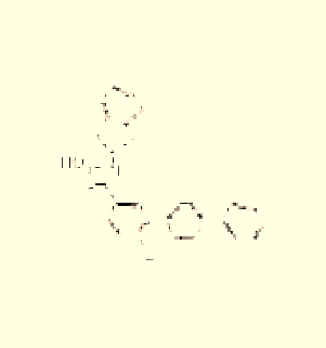 O=C(NC1(C(=O)O)Cc2ccccc2C1)c1ccc(Cl)c(-c2ccc(-c3ccccc3)cc2)c1